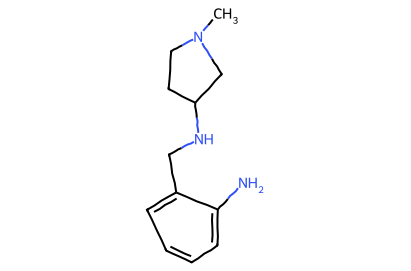 CN1CCC(NCc2ccccc2N)C1